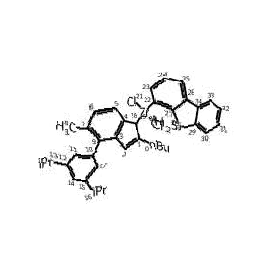 CCCCC1=Cc2c(ccc(C)c2-c2cc(C(C)C)cc(C(C)C)c2)[CH]1[Zr]([Cl])([Cl])[c]1cccc2c1[SiH2]c1ccccc1-2